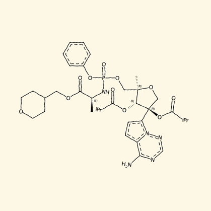 CC(C)C(=O)O[C@@H]1[C@@](C)(COP(=O)(N[C@@H](C)C(=O)OCC2CCOCC2)Oc2ccccc2)OC[C@]1(OC(=O)C(C)C)c1ccc2c(N)ncnn12